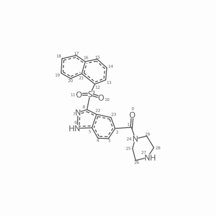 O=C(c1ccc2[nH]nc(S(=O)(=O)c3cccc4ccccc34)c2c1)N1CCNCC1